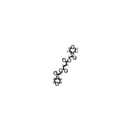 O=C(/C=C/C(=O)OCC(=O)N1CCOCC1)OCC(=O)N1CCOCC1